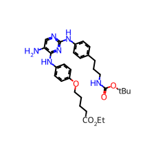 CCOC(=O)CCCCOc1ccc(Nc2nc(Nc3ccc(CCCNC(=O)OC(C)(C)C)cc3)ncc2N)cc1